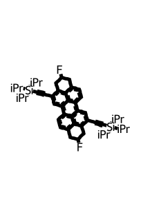 CC(C)[Si](C#Cc1cc2c3ccc4c5c(c(C#C[Si](C(C)C)(C(C)C)C(C)C)cc(c6ccc7c(c1CC(F)C7)c62)c53)CC(F)C4)(C(C)C)C(C)C